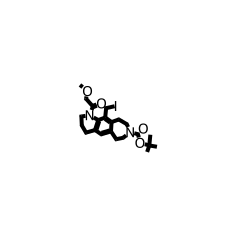 COCC(=O)N1CCCc2cc3c(c(CI)c21)CCN(C(=O)OC(C)(C)C)CC3